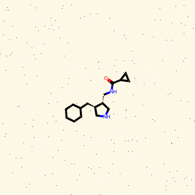 O=C(NC[C@@H]1CNC[C@H]1CC1CCCCC1)C1CC1